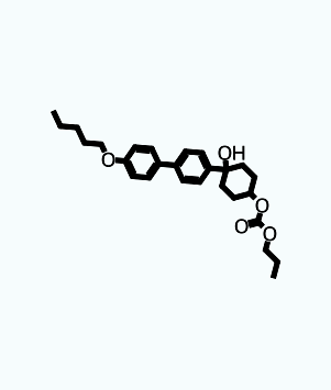 CCCCCOc1ccc(-c2ccc(C3(O)CCC(OC(=O)OCCC)CC3)cc2)cc1